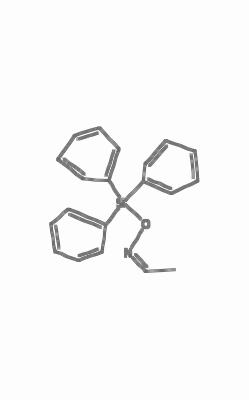 C/C=N\O[Si](c1ccccc1)(c1ccccc1)c1ccccc1